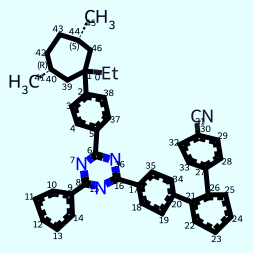 CCC1(c2ccc(-c3nc(-c4ccccc4)nc(-c4ccc(-c5ccccc5-c5ccc(C#N)cc5)cc4)n3)cc2)C[C@H](C)CC[C@H](C)C1